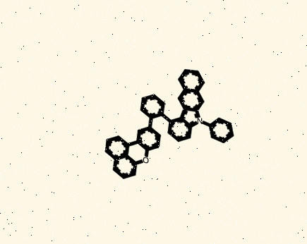 c1ccc(-n2c3cc4ccccc4cc3c3c(-c4ccccc4-c4ccc5c(c4)-c4cccc6cccc(c46)O5)cccc32)cc1